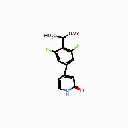 COC(C(=O)O)c1c(F)cc(-c2cc[nH]c(=O)c2)cc1F